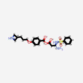 N[C@H](CC(=O)OC(=O)c1ccc(OCCCC2CNC2)cc1)NS(=O)(=O)c1ccccc1